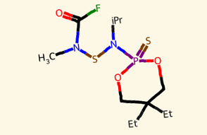 CCC1(CC)COP(=S)(N(SN(C)C(=O)F)C(C)C)OC1